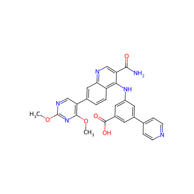 COc1ncc(-c2ccc3c(Nc4cc(C(=O)O)cc(-c5ccncc5)c4)c(C(N)=O)cnc3c2)c(OC)n1